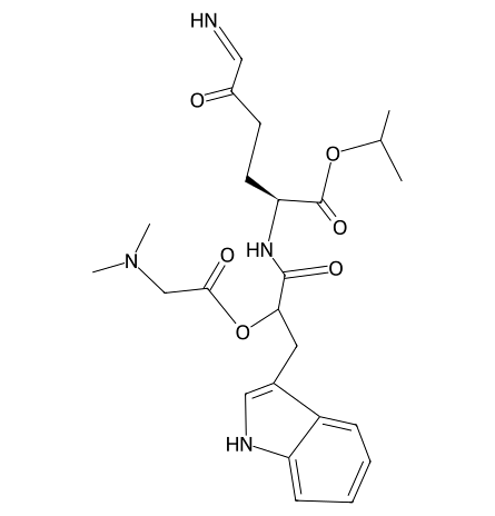 CC(C)OC(=O)[C@H](CCC(=O)C=N)NC(=O)C(Cc1c[nH]c2ccccc12)OC(=O)CN(C)C